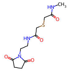 CNC(=O)CSCC(=O)NCCN1C(=O)CCC1=O